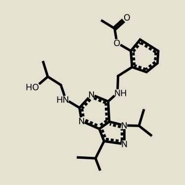 CC(=O)Oc1ccccc1CNc1nc(NCC(C)O)nc2c(C(C)C)nn(C(C)C)c12